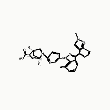 Cc1cccc2c(-c3cccc4nn(C)cc34)nn(-c3ccc(N4C[C@H]5C[C@@H]4C[C@@H]5C(=O)O)nc3)c12